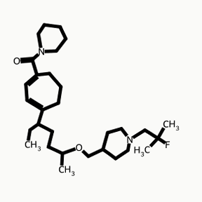 CCC(CCC(C)OCC1CCN(CC(C)(C)F)CC1)C1=CC=C(C(=O)N2CCCCC2)CCC1